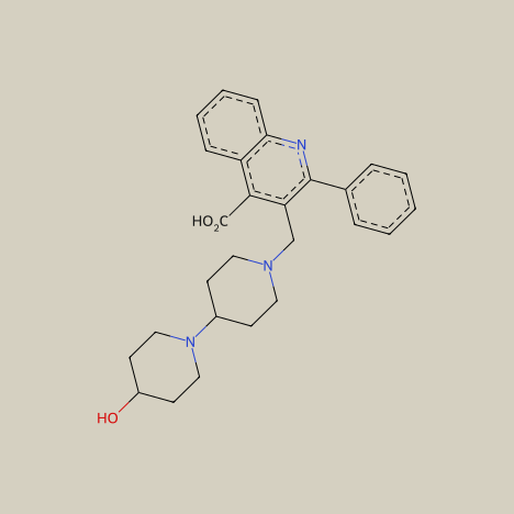 O=C(O)c1c(CN2CCC(N3CCC(O)CC3)CC2)c(-c2ccccc2)nc2ccccc12